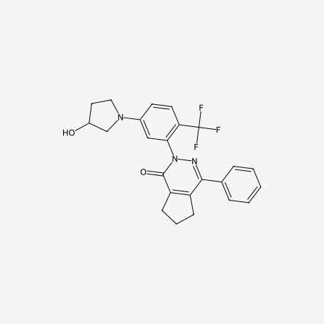 O=c1c2c(c(-c3ccccc3)nn1-c1cc(N3CCC(O)C3)ccc1C(F)(F)F)CCC2